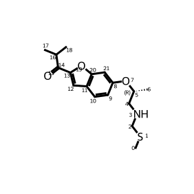 CSCNC[C@@H](C)Oc1ccc2cc(C(=O)C(C)C)oc2c1